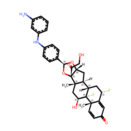 C[C@]12C=CC(=O)C=C1[C@@H](F)C[C@H]1[C@@H]3C[C@H]4O[C@H](c5ccc(Nc6cccc(N)c6)cc5)O[C@@]4(C(=O)CO)[C@@]3(C)C[C@H](O)[C@@]12F